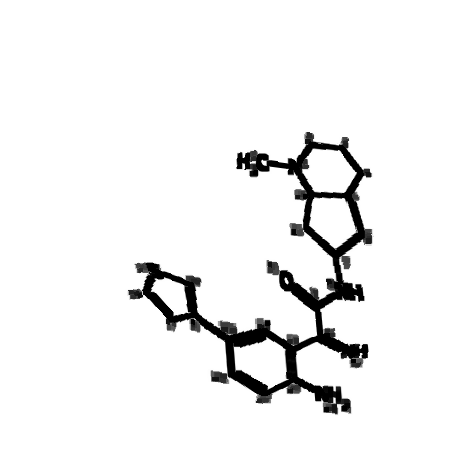 CN1CCCC2CC(NC(=O)C(=N)c3cc(-c4ccsc4)ccc3N)CC21